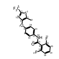 Cc1sc(C(F)(F)F)nc1Oc1ccc(NC(=O)c2c(F)cccc2F)cc1